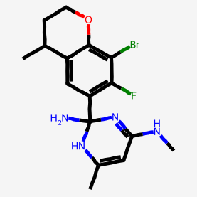 CNC1=NC(N)(c2cc3c(c(Br)c2F)OCCC3C)NC(C)=C1